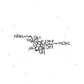 CCCCCCCCCCCCC/C=C\C(O)C(CO)Nc1c(F)c(F)c(NC(CO)C(O)/C=C/CCCCCCCCCCCCC)c2c1C(=O)c1c(O)ccc(O)c1C2=O